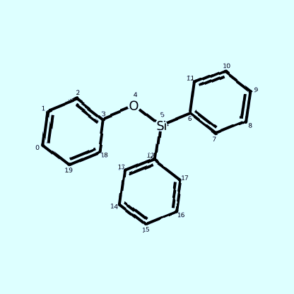 c1ccc(O[Si](c2ccccc2)c2ccccc2)cc1